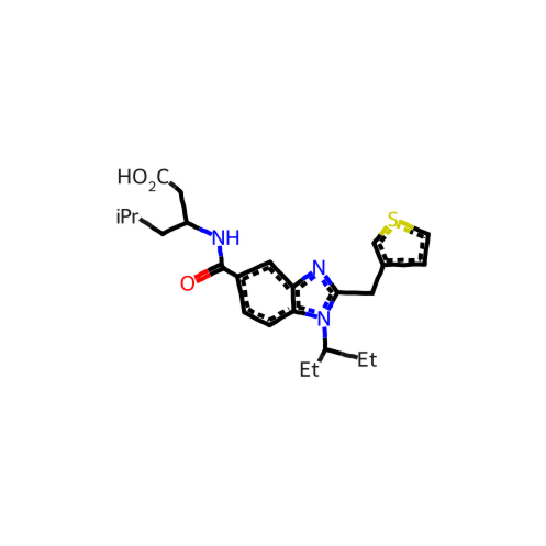 CCC(CC)n1c(Cc2ccsc2)nc2cc(C(=O)NC(CC(=O)O)CC(C)C)ccc21